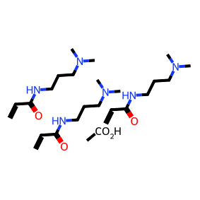 C=CC(=O)NCCCN(C)C.C=CC(=O)NCCCN(C)C.C=CC(=O)NCCCN(C)C.CC(=O)O